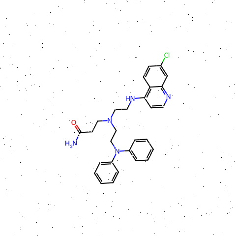 NC(=O)CCN(CCNc1ccnc2cc(Cl)ccc12)CCN(c1ccccc1)c1ccccc1